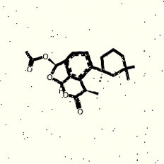 CC(=O)O[C@@H]1O[C@H]2OC(=O)[C@H](C)c3c([C@@]4(C)CCCC(C)(C)C4)ccc1c32